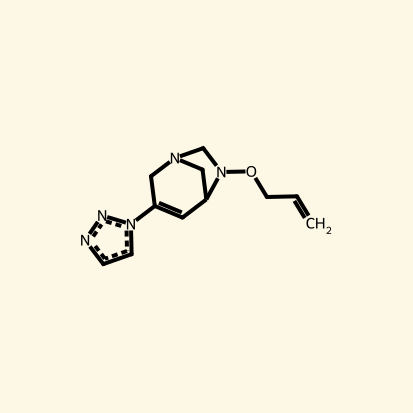 C=CCON1CN2CC(n3ccnn3)=CC1C2